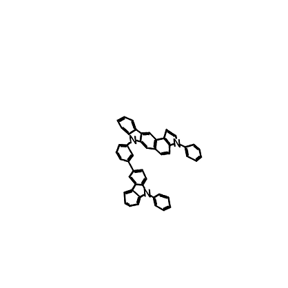 c1ccc(-n2ccc3c4cc5c6ccccc6n(-c6cccc(-c7ccc8c(c7)c7ccccc7n8-c7ccccc7)c6)c5cc4ccc32)cc1